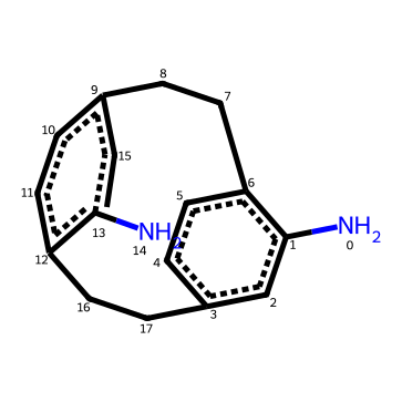 Nc1cc2ccc1CCc1ccc(c(N)c1)CC2